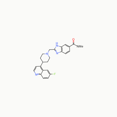 CNC(=O)c1ccc2nc(CN3CCC(c4ccnc5ccc(F)cc45)CC3)[nH]c2c1